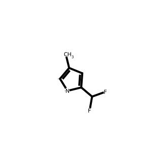 CC1=[C][N]C(C(F)F)=C1